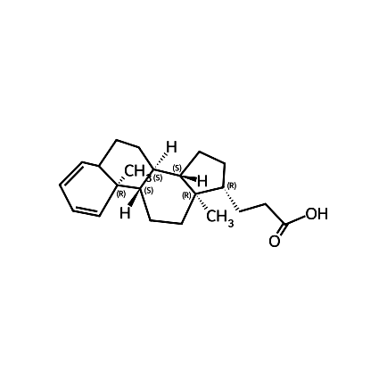 C[C@]12CC[C@H]3[C@@H](CCC4C=CC=C[C@@]43C)[C@@H]1CC[C@@H]2CCC(=O)O